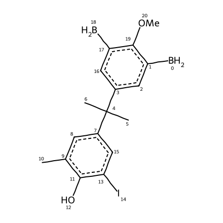 Bc1cc(C(C)(C)c2cc(C)c(O)c(I)c2)cc(B)c1OC